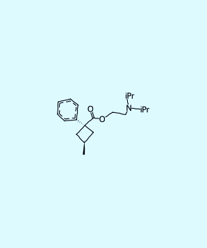 CC(C)N(CCOC(=O)[C@]1(c2ccccc2)C[C@H](C)C1)C(C)C